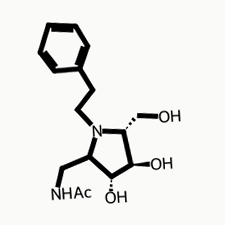 CC(=O)NCC1[C@@H](O)[C@H](O)[C@@H](CO)N1CCc1ccccc1